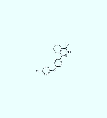 O=c1[nH]nc(-c2ccc(Oc3ccc(Cl)cc3)cc2)c2c1CCCC2